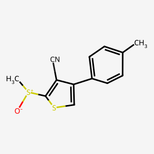 Cc1ccc(-c2csc([S+](C)[O-])c2C#N)cc1